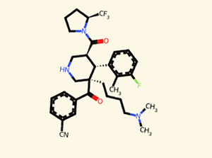 Cc1c(F)cccc1[C@H]1[C@H](C(=O)N2CCC[C@H]2C(F)(F)F)CNC[C@]1(CCCCN(C)C)C(=O)c1cccc(C#N)c1